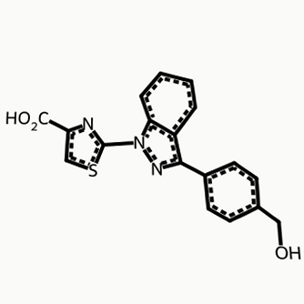 O=C(O)c1csc(-n2nc(-c3ccc(CO)cc3)c3ccccc32)n1